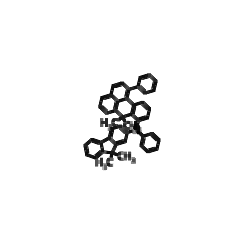 CC1(C)c2ccccc2-c2ccc(N(c3ccccc3)c3cccc4c3C(C)(C)c3cccc5ccc(-c6ccccc6)c-4c35)cc21